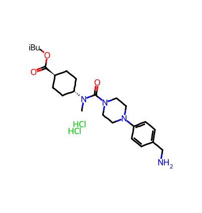 CCC(C)OC(=O)[C@H]1CC[C@H](N(C)C(=O)N2CCN(c3ccc(CN)cc3)CC2)CC1.Cl.Cl